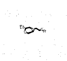 CC[C@@H]1CN(CCOC(C)C)CCO1